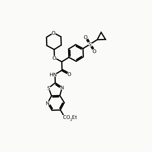 CCOC(=O)c1cnc2sc(NC(=O)C(OC3CCOCC3)c3ccc(S(=O)(=O)C4CC4)cc3)nc2c1